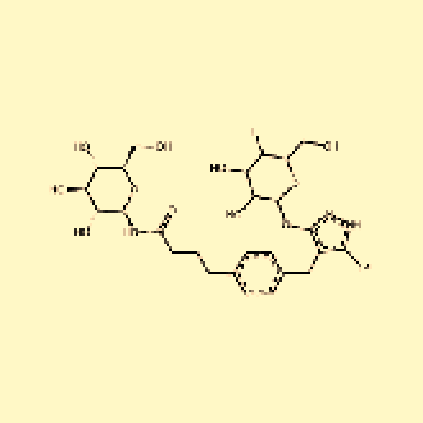 CC(C)c1[nH]nc(OC2OC(CO)C(F)C(O)C2O)c1Cc1ccc(CCCC(=O)N[C@@H]2O[C@H](CO)[C@@H](O)[C@H](O)[C@H]2O)cc1